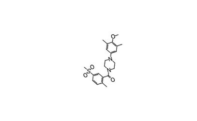 COc1c(C)cc(N2CCN(C(=O)c3cc(S(C)(=O)=O)ccc3C)CC2)cc1C